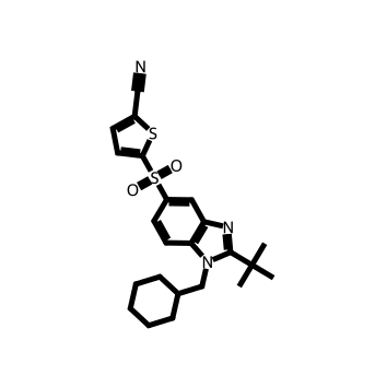 CC(C)(C)c1nc2cc(S(=O)(=O)c3ccc(C#N)s3)ccc2n1CC1CCCCC1